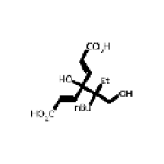 CCCCC(CC)(CO)C(O)(C=CC(=O)O)C=CC(=O)O